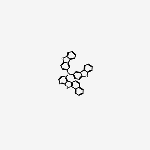 c1ccc2c(c1)ccc1c2sc2nccc(N(c3ccc4oc5ccccc5c4c3)c3ccc4oc5ccccc5c4c3)c21